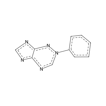 c1ccc(-n2cnc3ncnc-3n2)cc1